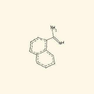 N=C(N)c1[c]ccc2ccccc12